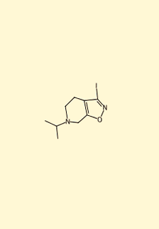 CC(C)N1CCc2c(I)noc2C1